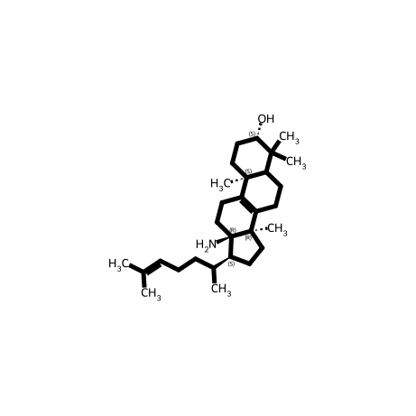 CC(C)=CCCC(C)[C@@H]1CC[C@]2(C)C3=C(CC[C@@]12N)[C@@]1(C)CC[C@H](O)C(C)(C)C1CC3